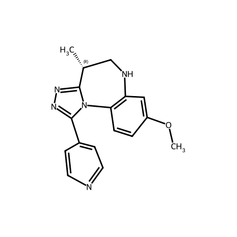 COc1ccc2c(c1)NC[C@@H](C)c1nnc(-c3ccncc3)n1-2